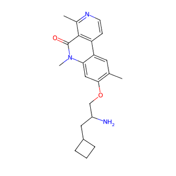 Cc1cc2c3ccnc(C)c3c(=O)n(C)c2cc1OCC(N)CC1CCC1